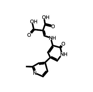 Cc1cc(-c2c[nH]c(=O)c(NC=C(C(=O)O)C(=O)O)c2)ccn1